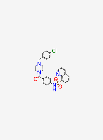 O=C(c1ccc(NS(=O)(=O)c2cccc3cccnc23)cc1)N1CCN(Cc2ccc(Cl)cc2)CC1